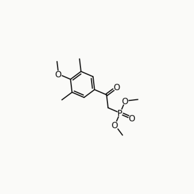 COc1c(C)cc(C(=O)CP(=O)(OC)OC)cc1C